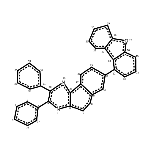 c1ccc(-c2nc3ccc4cc(-c5cccc6oc7ccccc7c56)ccc4c3nc2-c2ccccc2)cc1